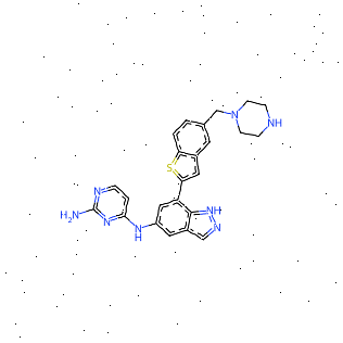 Nc1nccc(Nc2cc(-c3cc4cc(CN5CCNCC5)ccc4s3)c3[nH]ncc3c2)n1